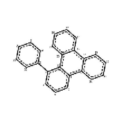 [c]1ccc(-c2cccc3c4ccccc4c4ccccc4c23)cc1